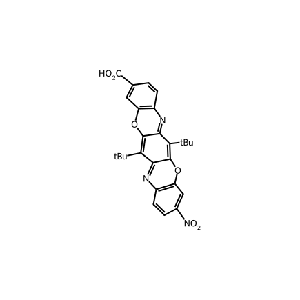 CC(C)(C)c1c2c(c(C(C)(C)C)c3c1=Nc1ccc(C(=O)O)cc1O3)=Nc1ccc([N+](=O)[O-])cc1O2